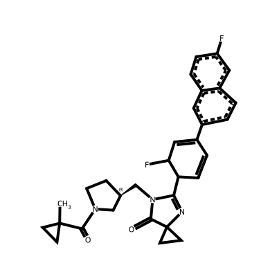 CC1(C(=O)N2CC[C@@H](CN3C(=O)C4(CC4)N=C3C3C=CC(c4ccc5cc(F)ccc5c4)=CC3F)C2)CC1